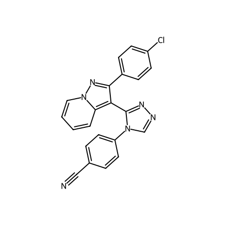 N#Cc1ccc(-n2cnnc2-c2c(-c3ccc(Cl)cc3)nn3ccccc23)cc1